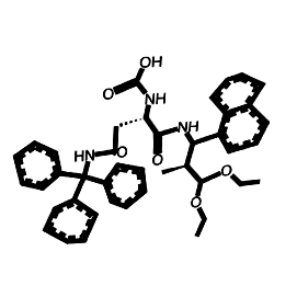 CCOC(OCC)[C@@H](C)C(NC(=O)[C@H](CC(=O)NC(c1ccccc1)(c1ccccc1)c1ccccc1)NC(=O)O)c1cccc2ccccc12